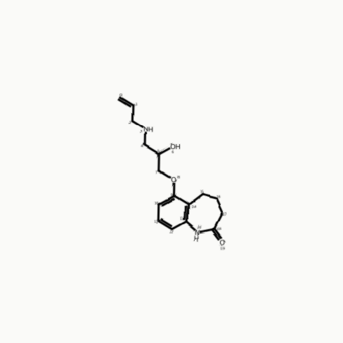 C=CCNCC(O)COc1cccc2c1CCCC(=O)N2